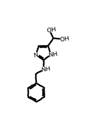 OC(O)c1cnc(NCc2ccccc2)[nH]1